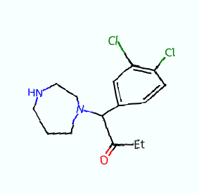 CCC(=O)C(c1ccc(Cl)c(Cl)c1)N1CCCNCC1